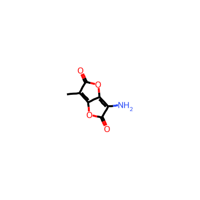 CC1=C2OC(=O)C(N)=C2OC1=O